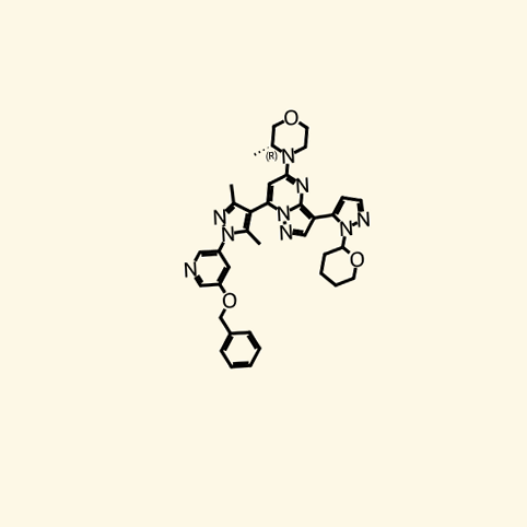 Cc1nn(-c2cncc(OCc3ccccc3)c2)c(C)c1-c1cc(N2CCOC[C@H]2C)nc2c(-c3ccnn3C3CCCCO3)cnn12